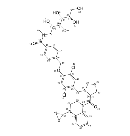 CN(C[C@H](O)[C@@H](O)[C@H](O)[C@H](O)CO)C(=O)c1ccc(COc2cc(Cl)c(CN3CSC[C@H]3C(=O)N3CCN(C4CC4)c4ccccc43)cc2Cl)cc1